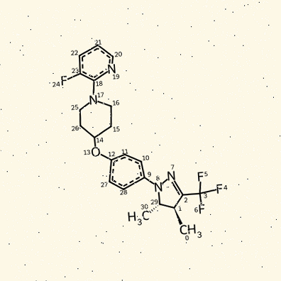 C[C@@H]1C(C(F)(F)F)=NN(c2ccc(OC3CCN(c4ncccc4F)CC3)cc2)[C@H]1C